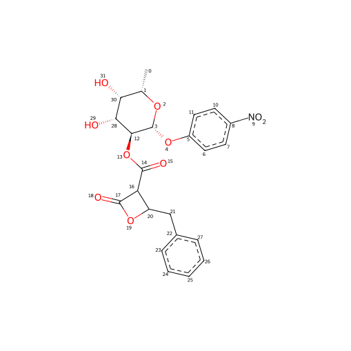 C[C@@H]1O[C@H](Oc2ccc([N+](=O)[O-])cc2)[C@@H](OC(=O)C2C(=O)OC2Cc2ccccc2)[C@H](O)[C@@H]1O